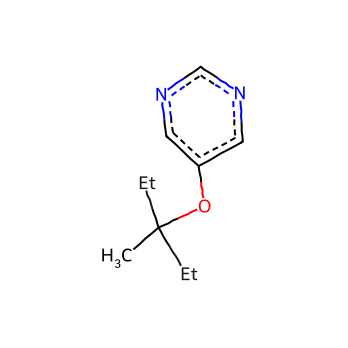 CCC(C)(CC)Oc1cncnc1